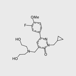 COc1ccc(-c2cc(CN(CCO)CCO)c(=O)n(CC3CC3)n2)cc1F